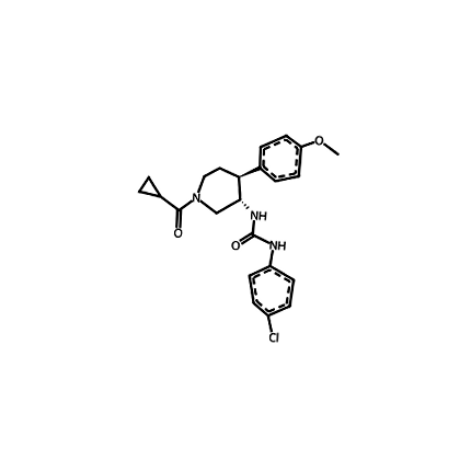 COc1ccc([C@@H]2CCN(C(=O)C3CC3)C[C@H]2NC(=O)Nc2ccc(Cl)cc2)cc1